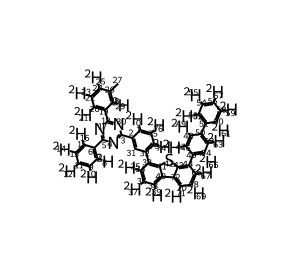 [2H]c1c(-c2nc(-c3c([2H])c([2H])c([2H])c([2H])c3[2H])nc(-c3c([2H])c([2H])c([2H])c(C)c3[2H])n2)cc(-c2c([2H])c([2H])c([2H])c3c2sc2c(-c4c([2H])c([2H])c(-c5c([2H])c([2H])c([2H])c([2H])c5[2H])c([2H])c4[2H])c([2H])c([2H])c([2H])c23)c([2H])c1[2H]